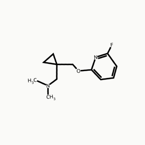 CN(C)CC1(COc2cccc(F)n2)CC1